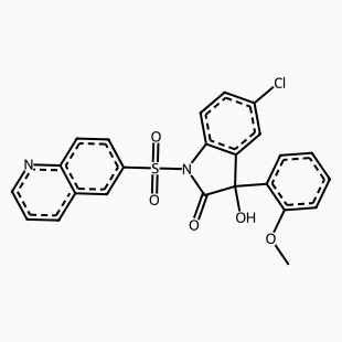 COc1ccccc1C1(O)C(=O)N(S(=O)(=O)c2ccc3ncccc3c2)c2ccc(Cl)cc21